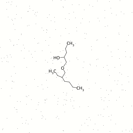 CCCCC(CC)COCC(O)CCC